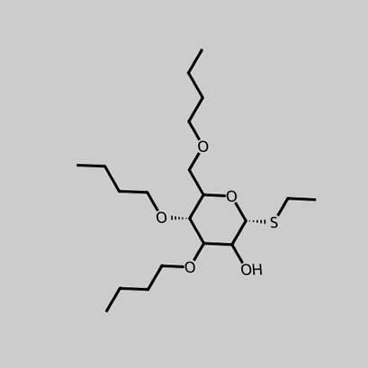 CCCCOCC1O[C@H](SCC)C(O)C(OCCCC)[C@@H]1OCCCC